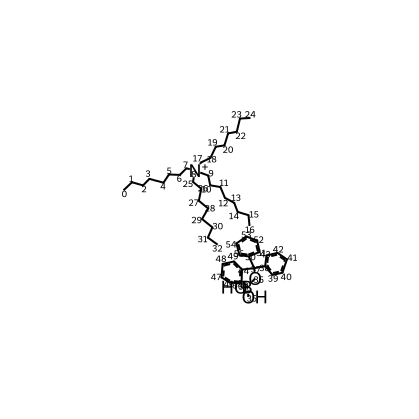 CCCCCCCC[N+](CCCCCCCC)(CCCCCCCC)CCCCCCCC.OB(O)OC(c1ccccc1)(c1ccccc1)c1ccccc1